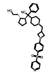 N#CC(c1ccccc1)(C1CCN(CC2CN(c3ccc(S(=O)(=O)c4ccncc4)cc3)C2)CC1)[C@H]1CCC[C@@H]1CCO